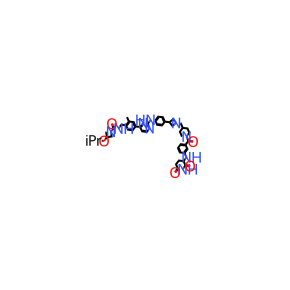 Cc1cc(-c2ccnc(Nc3ccc(C4CN(CC5CCN(C(=O)c6cccc(NC7CCC(=O)NC7=O)c6)CC5)C4)cc3)n2)ccc1CNC(=O)N1CC(OC(C)C)C1